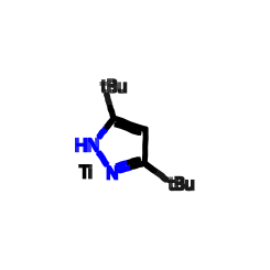 CC(C)(C)c1cc(C(C)(C)C)[nH]n1.[Ti]